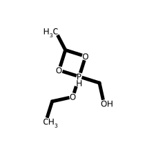 CCO[PH]1(CO)OC(C)O1